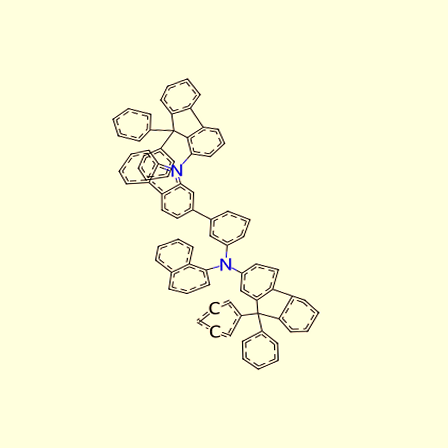 c1ccc(C2(c3ccccc3)c3ccccc3-c3ccc(N(c4cccc(-c5ccc6c7ccccc7n(-c7cccc8c7C(c7ccccc7)(c7ccccc7)c7ccccc7-8)c6c5)c4)c4cccc5ccccc45)cc32)cc1